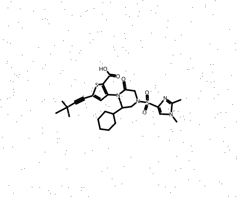 Cc1nc(S(=O)(=O)N2CC(=O)N(c3cc(C#CC(C)(C)C)sc3C(=O)O)C(C3CCCCC3)C2)cn1C